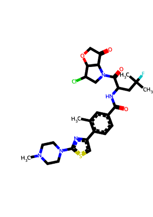 Cc1cc(C(=O)NC(CC(C)(C)F)C(=O)N2CC(Cl)C3OCC(=O)C32)ccc1-c1csc(N2CCN(C)CC2)n1